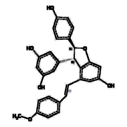 COc1ccc(/C=C/c2cc(O)cc3c2[C@H](c2cc(O)cc(O)c2)[C@@H](c2ccc(O)cc2)O3)cc1